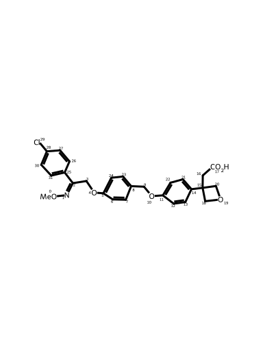 CON=C(COc1ccc(COc2ccc(C3(CC(=O)O)COC3)cc2)cc1)c1ccc(Cl)cc1